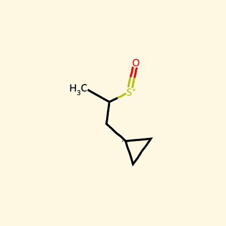 CC(C[C]1CC1)[S+]=O